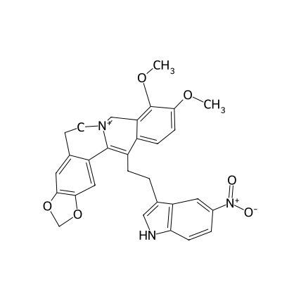 COc1ccc2c(CCc3c[nH]c4ccc([N+](=O)[O-])cc34)c3[n+](cc2c1OC)CCc1cc2c(cc1-3)OCO2